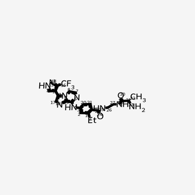 CCc1cc(Nc2nccn3c(-c4c[nH]nc4C(F)(F)F)cnc23)ccc1C(=O)NCCNC(=O)[C@H](C)N